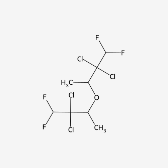 CC(OC(C)C(Cl)(Cl)C(F)F)C(Cl)(Cl)C(F)F